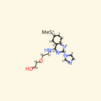 CSc1ccc2nc(-n3ccnc3)nc(NCCOCCO)c2c1